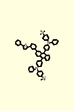 C[Si](C)(C)c1ccc(N(c2ccccc2)c2ccc(-c3c4ccccc4c(-c4ccc(N(c5ccccc5)c5ccc([Si](C)(C)C)cc5)cc4)c4cc(-c5cccc(-c6ccc(-c7ccccc7)s6)c5)ccc34)cc2)cc1